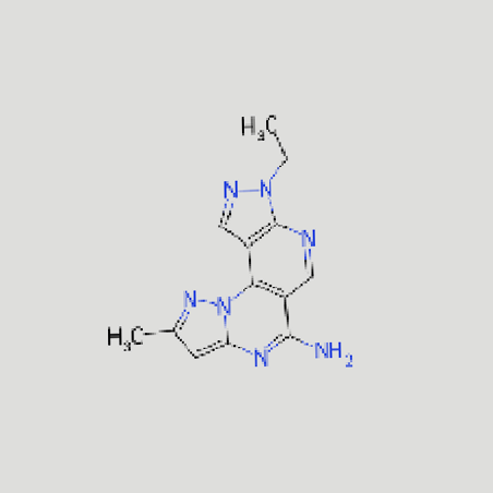 CCn1ncc2c1ncc1c(N)nc3cc(C)nn3c12